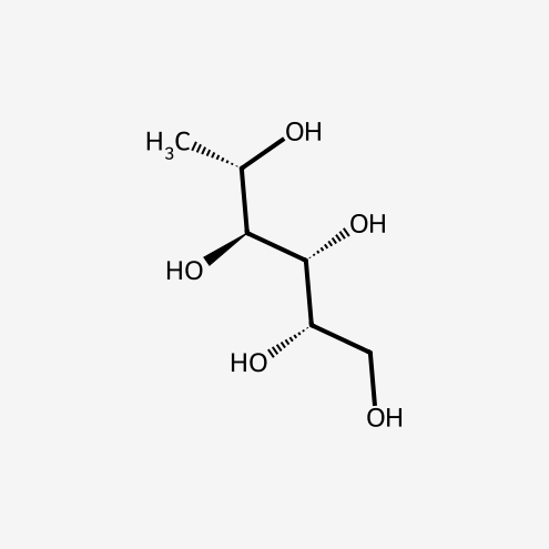 C[C@H](O)[C@H](O)[C@H](O)[C@@H](O)CO